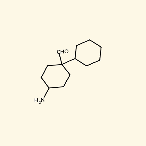 NC1CCC(C=O)(C2CCCCC2)CC1